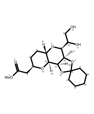 COC(=O)C[C@H]1CC[C@@H]2O[C@@H](C(O)CO)[C@H]3OC4(CCCCC4)O[C@H]3[C@H]2O1